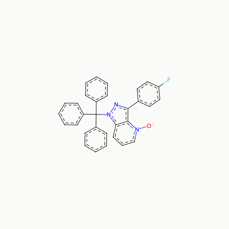 [O-][n+]1cccc2c1c(-c1ccc(F)cc1)nn2C(c1ccccc1)(c1ccccc1)c1ccccc1